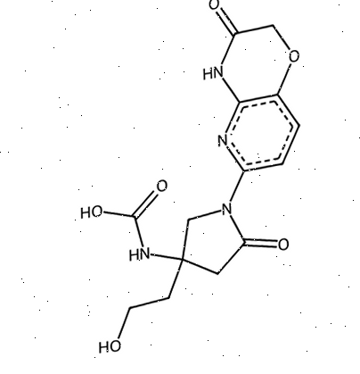 O=C(O)NC1(CCO)CC(=O)N(c2ccc3c(n2)NC(=O)CO3)C1